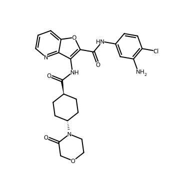 Nc1cc(NC(=O)c2oc3cccnc3c2NC(=O)[C@H]2CC[C@H](N3CCOCC3=O)CC2)ccc1Cl